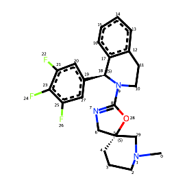 CN1CCC[C@@]2(CN=C(N3CCc4ccccc4[C@@H]3c3cc(F)c(F)c(F)c3)O2)C1